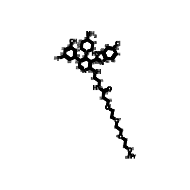 CCCOCCOCCOCCOCCC(=O)NCCNc1ncc(-c2cc(C)cc(F)c2)c(N2CCC(N)CC2)c1-c1nc2ccc(Cl)cc2[nH]1